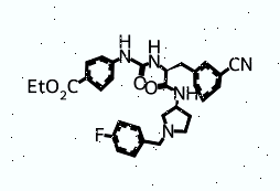 CCOC(=O)c1ccc(NC(=O)N[C@@H](Cc2cccc(C#N)c2)C(=O)N[C@H]2CCN(Cc3ccc(F)cc3)C2)cc1